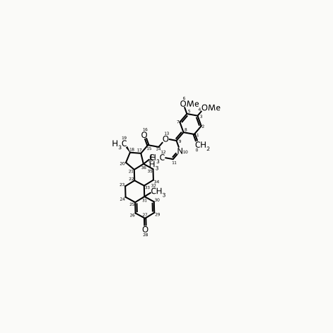 C=c1cc(OC)c(OC)c/c1=C(/N=C\C)OCC(=O)C1[C@H](C)CC2C3CCC4=CC(=O)C=CC4(C)C3CCC21C